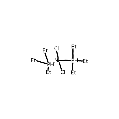 CC[PH](CC)(CC)[Ni]([Cl])([Cl])[PH](CC)(CC)CC